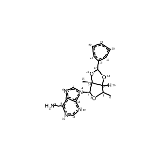 CC1O[C@@H](n2cnc3c(N)ncnc32)[C@]2(C)OC(c3ccccc3)O[C@H]12